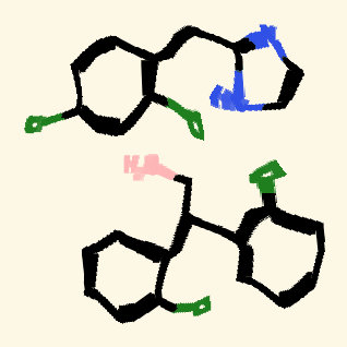 BCC(c1ccccc1Cl)c1ccccc1Cl.Clc1ccc(Cc2ncc[nH]2)c(Cl)c1